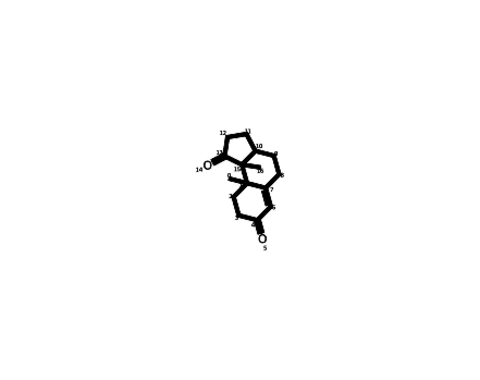 CC12CCC(=O)C=C1CCC1CCC(=O)C12C